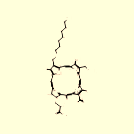 CCCCCCCCOCc1c(C)c2cc3nc(c(C)c4[nH]c(cc5nc(cc1[nH]2)C(C)=C5CC)c(C)c4C(=O)O)[C@@H](CCC(=O)O)[C@@H]3C